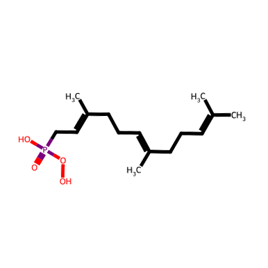 CC(C)=CCCC(C)=CCCC(C)=CCP(=O)(O)OO